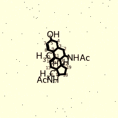 CC(=O)NC1CC2CC(O)C=C[C@]2(C)C2=CC[C@]3(C)C(NC(C)=O)CC[C@H]3[C@@H]21